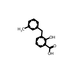 Cc1cccc(Cc2cccc(C(=O)O)c2O)c1